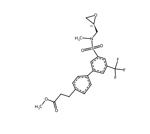 COC(=O)CCc1ccc(-c2cc(C(F)(F)F)cc(S(=O)(=O)N(C)C[C@H]3CO3)c2)cc1